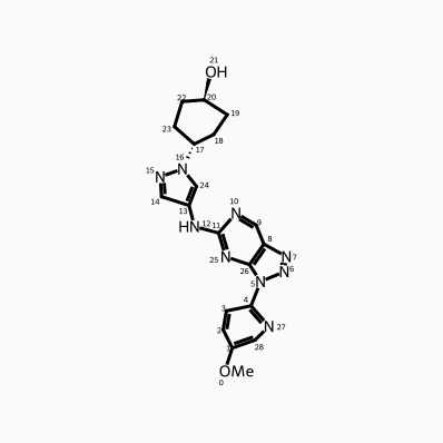 COc1ccc(-n2nnc3cnc(Nc4cnn([C@H]5CC[C@H](O)CC5)c4)nc32)nc1